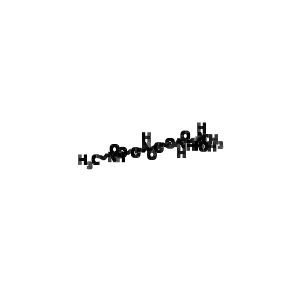 CCCCNC(=O)COCCOCCNC(=O)COCCOCCNC(=O)CC[C@H](NC)PO